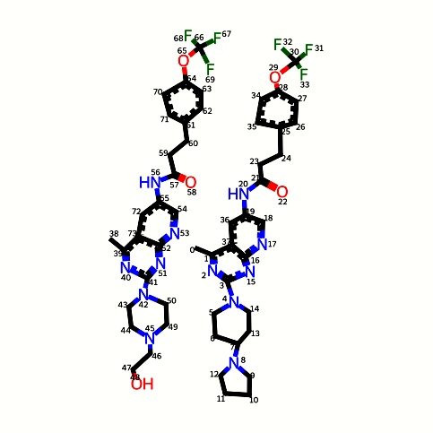 Cc1nc(N2CCC(N3CCCC3)CC2)nc2ncc(NC(=O)CCc3ccc(OC(F)(F)F)cc3)cc12.Cc1nc(N2CCN(CCO)CC2)nc2ncc(NC(=O)CCc3ccc(OC(F)(F)F)cc3)cc12